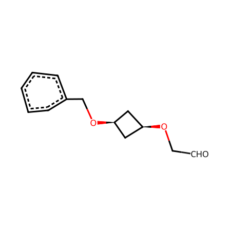 O=CCO[C@H]1C[C@@H](OCc2ccccc2)C1